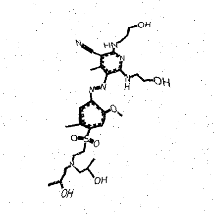 COc1cc(S(=O)(=O)CCN(CC(C)O)CC(C)O)c(C)cc1/N=N/c1c(NCCO)nc(NCCO)c(C#N)c1C